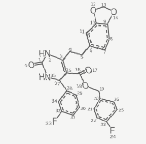 O=C1NC(CCc2ccc3c(c2)OCO3)=C(C(=O)OCc2ccc(F)cc2)C(c2cccc(F)c2)N1